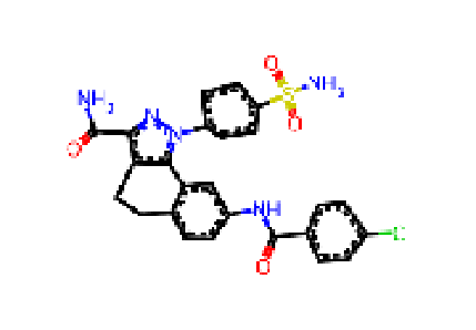 NC(=O)c1nn(-c2ccc(S(N)(=O)=O)cc2)c2c1CCc1ccc(NC(=O)c3ccc(Cl)cc3)cc1-2